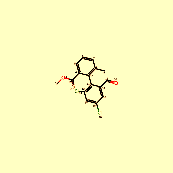 COC(=S)c1cccc(C)c1-c1c(Cl)cc(Cl)cc1C=O